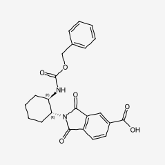 O=C(N[C@@H]1CCCC[C@H]1N1C(=O)c2ccc(C(=O)O)cc2C1=O)OCc1ccccc1